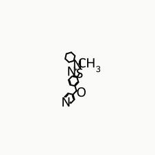 CN(c1nc2ccc(C(=O)c3ccncc3)cc2s1)C1CCCCC1